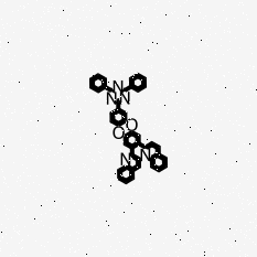 c1ccc(-c2nc(-c3ccccc3)nc(-c3ccc4c(c3)Oc3cc(-c5ccc6ccccc6n5)c(-c5ccc6ccccc6n5)cc3O4)n2)cc1